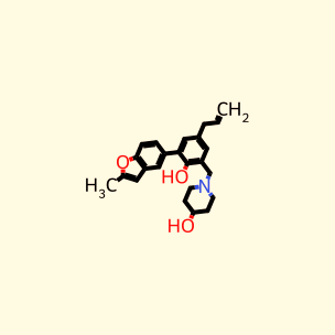 C=CCc1cc(CN2CCC(O)CC2)c(O)c(-c2ccc3oc(C)cc3c2)c1